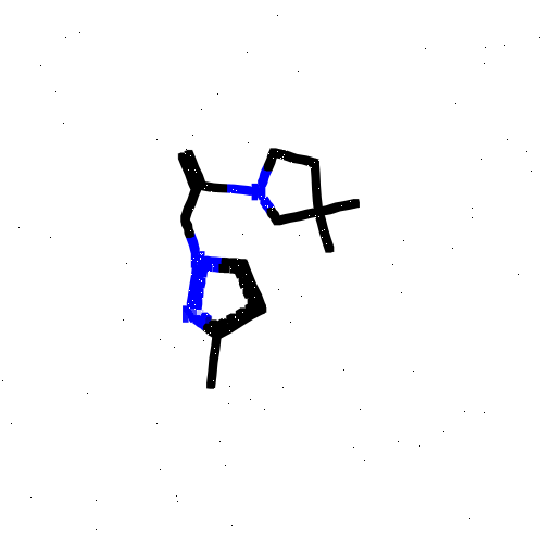 C=C(Cn1ccc(C)n1)N1CCC(C)(C)C1